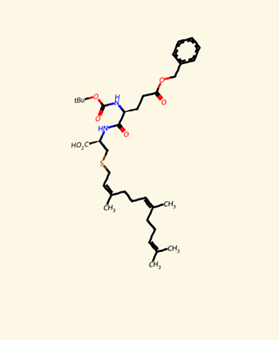 CC(C)=CCCC(C)=CCCC(C)=CCSC[C@H](NC(=O)[C@H](CCC(=O)OCc1ccccc1)NC(=O)OC(C)(C)C)C(=O)O